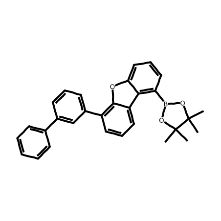 CC1(C)OB(c2cccc3oc4c(-c5cccc(-c6ccccc6)c5)cccc4c23)OC1(C)C